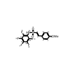 COc1ccc(C=CS(=O)(=O)Nc2c(F)c(F)c(F)c(F)c2F)cc1